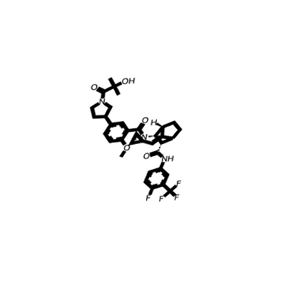 COc1ccc(C2CCN(C(=O)C(C)(C)O)C2)cc1C(=O)N[C@@H]1[C@@H]2CCC(/C2=C/C2CC2)[C@@H]1C(=O)Nc1ccc(F)c(C(F)(F)F)c1